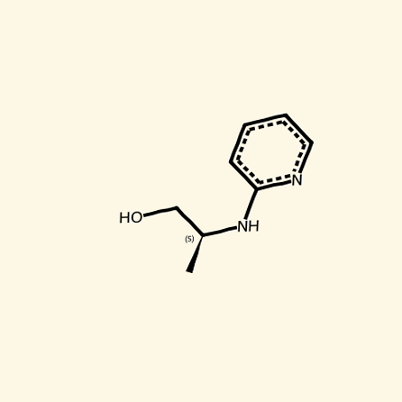 C[C@@H](CO)Nc1ccccn1